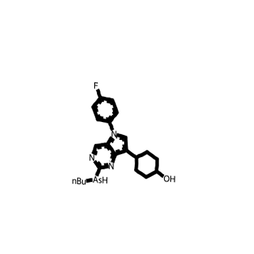 CCCC[AsH]c1ncc2c(n1)c(C1CCC(O)CC1)cn2-c1ccc(F)cc1